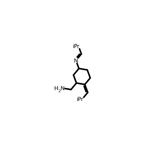 CC(C)C=NC1CCC(=CC(C)C)C(CN)C1